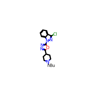 CCCCN1CCC(c2nnc(-n3nc(Cl)c4ccccc43)o2)CC1